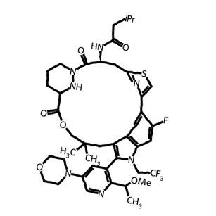 COC(C)c1ncc(N2CCOCC2)cc1-c1c2c3cc(c(F)cc3n1CC(F)(F)F)-c1csc(n1)C[C@H](NC(=O)CC(C)C)C(=O)N1CCCC(N1)C(=O)OCC(C)(C)C2